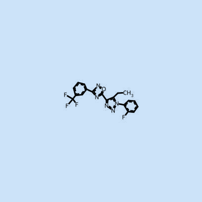 CCc1c(-c2nc(-c3cccc(C(F)(F)F)c3)no2)nnn1-c1ccccc1F